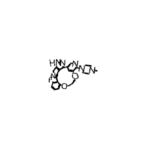 CN1CCN(c2ncc3cc2OCCCOc2cccc(F)c2-c2cc4c-3n[nH]c4cn2)CC1